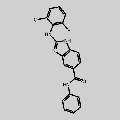 O=C(Nc1ccccc1)c1ccc2[nH]c(Nc3c(F)cccc3Cl)nc2c1